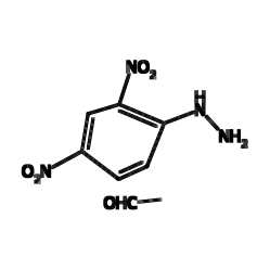 CC=O.NNc1ccc([N+](=O)[O-])cc1[N+](=O)[O-]